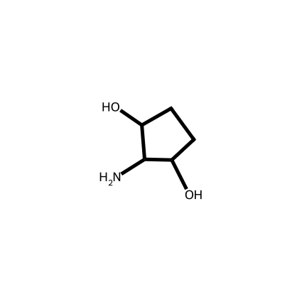 NC1C(O)CCC1O